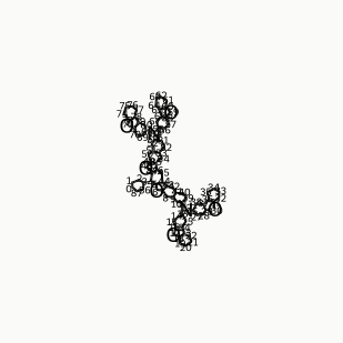 c1ccc(-c2c3oc4cc5cc(N(c6ccc7oc8ccccc8c7c6)c6ccc7oc8ccccc8c7c6)ccc5cc4c3cc3c2oc2cc4cc(N(c5ccc6oc7ccccc7c6c5)c5ccc6oc7ccccc7c6c5)ccc4cc23)cc1